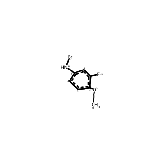 COc1ccc(NBr)cc1F